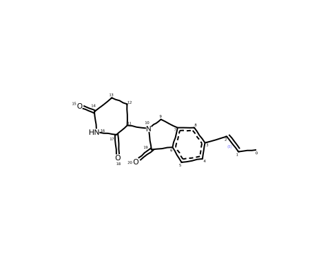 C/C=C/c1ccc2c(c1)CN(C1CCC(=O)NC1=O)C2=O